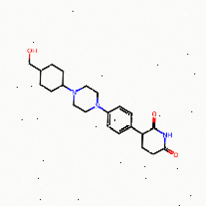 O=C1CCC(c2ccc(N3CCN(C4CCC(CO)CC4)CC3)cc2)C(=O)N1